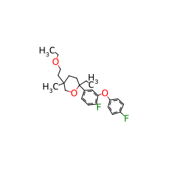 CCOCCC1(C)CCC(CC)(c2ccc(F)c(Oc3ccc(F)cc3)c2)OC1